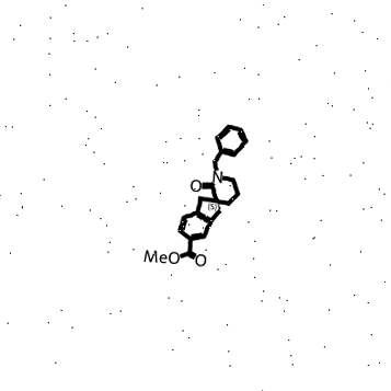 COC(=O)c1ccc2c(c1)C[C@]1(CCCN(Cc3ccccc3)C1=O)C2